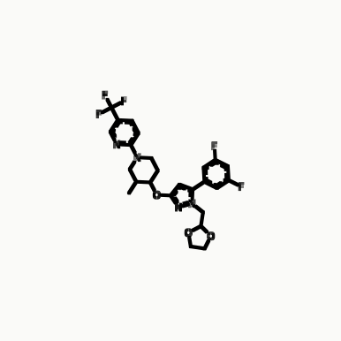 CC1CN(c2ccc(C(F)(F)F)cn2)CCC1Oc1cc(-c2cc(F)cc(F)c2)n(CC2OCCO2)n1